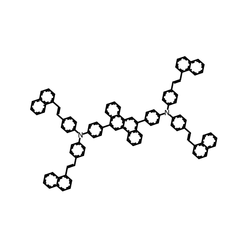 C(=Cc1cccc2ccccc12)c1ccc(N(c2ccc(C=Cc3cccc4ccccc34)cc2)c2ccc(-c3cc4c5ccccc5c(-c5ccc(N(c6ccc(C=Cc7cccc8ccccc78)cc6)c6ccc(C=Cc7cccc8ccccc78)cc6)cc5)cc4c4ccccc34)cc2)cc1